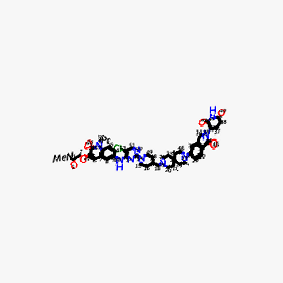 CNC(=O)COc1cc2cc(Nc3nc(N4CCC(CN5CCC6(CC5)CCN(c5ccc7c(c5)CN(C5CCC(=O)NC5=O)C7=O)CC6)CC4)ncc3Cl)ccc2n(C(C)C)c1=O